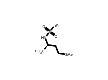 CCCS(=O)(=O)N[C@@H](CCSC)C(=O)O